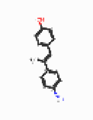 C/C(=C\c1ccc(O)cc1)c1ccc(N)cc1